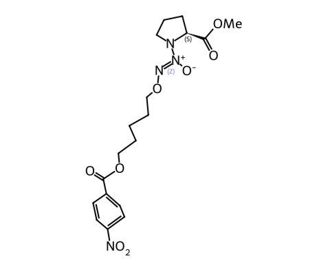 COC(=O)[C@@H]1CCCN1/[N+]([O-])=N/OCCCCCOC(=O)c1ccc([N+](=O)[O-])cc1